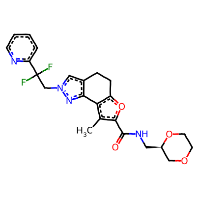 Cc1c(C(=O)NC[C@@H]2COCCO2)oc2c1-c1nn(CC(F)(F)c3ccccn3)cc1CC2